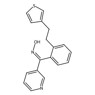 ON=C(c1cccnc1)c1ccccc1CCc1ccsc1